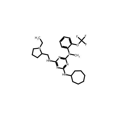 CCN1CCCC1CNc1nc(NC2CCCCCC2)nc(N(C)c2ccccc2OC(F)(F)F)n1